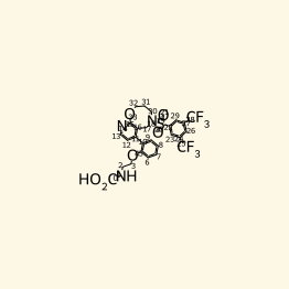 O=C(O)NCCOc1ccccc1-c1ccnc2c1CN(S(=O)(=O)c1cc(C(F)(F)F)cc(C(F)(F)F)c1)CCCO2